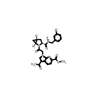 COC(=O)c1ccc2c(C(C)=O)cn(CC(=O)N3[C@@H]4C[C@@H]4C[C@H]3C(=O)N(F)Cc3cccc(Cl)c3)c2n1